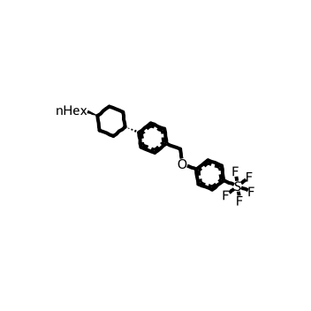 CCCCCC[C@H]1CC[C@H](c2ccc(COc3ccc(S(F)(F)(F)(F)F)cc3)cc2)CC1